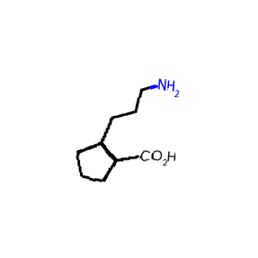 NCCCC1CCCC1C(=O)O